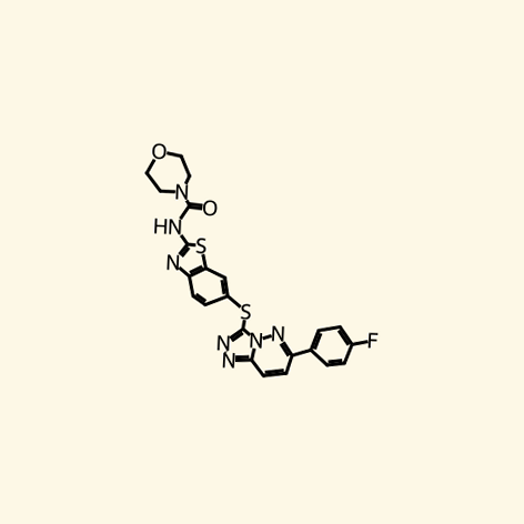 O=C(Nc1nc2ccc(Sc3nnc4ccc(-c5ccc(F)cc5)nn34)cc2s1)N1CCOCC1